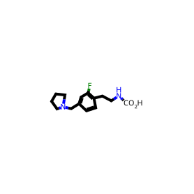 O=C(O)NCCc1ccc(CN2CCCC2)cc1F